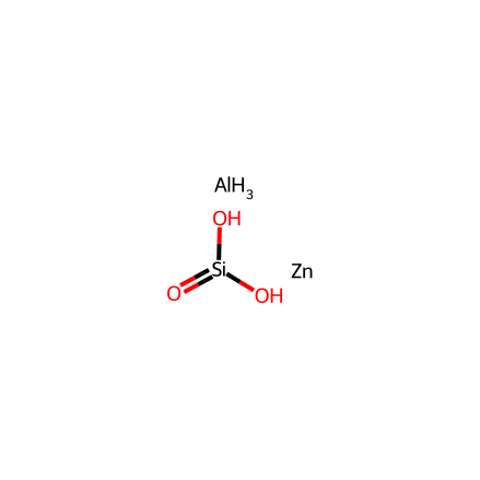 O=[Si](O)O.[AlH3].[Zn]